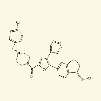 O=C(c1cc(-c2ccncc2)c(-c2ccc3c(c2)CCC3=NO)o1)N1CCN(Cc2ccc(Cl)cc2)CC1